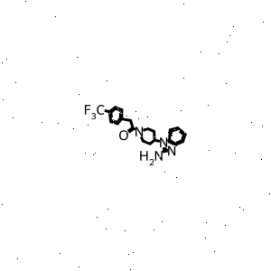 Nc1nc2ccccc2n1C1CCN(C(=O)Cc2ccc(C(F)(F)F)cc2)CC1